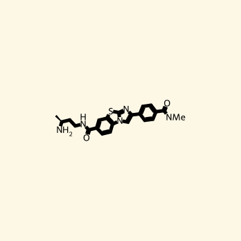 CNC(=O)c1ccc(-c2cn3c(n2)sc2cc(C(=O)NCC[C@H](C)N)ccc23)cc1